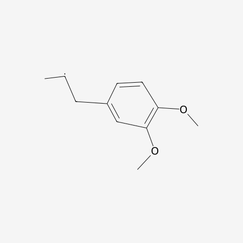 C[CH]Cc1ccc(OC)c(OC)c1